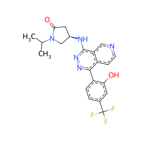 CC(C)N1C[C@H](Nc2nnc(-c3ccc(C(F)(F)F)cc3O)c3ccncc23)CC1=O